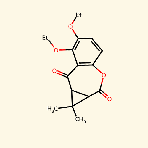 CCOc1c[c]c2c(c1OCC)C(=O)C1C(C(=O)O2)C1(C)C